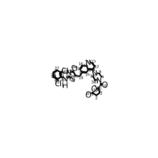 O=C1CC[C@H](C(=O)N2CCN(c3ccnc4ccc(CC5SC(Nc6c(Cl)cccc6Cl)=NC5=O)cc34)CC2)O1